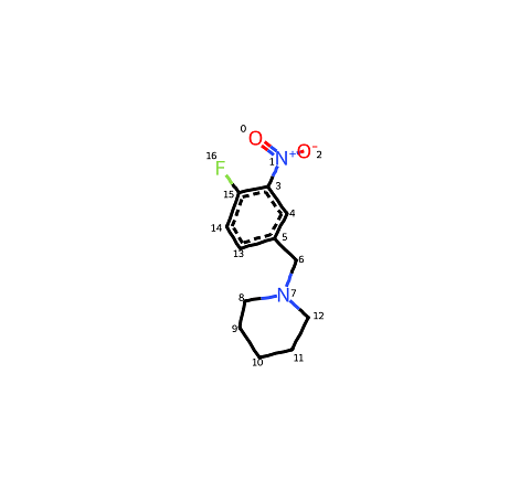 O=[N+]([O-])c1cc(CN2CCCCC2)ccc1F